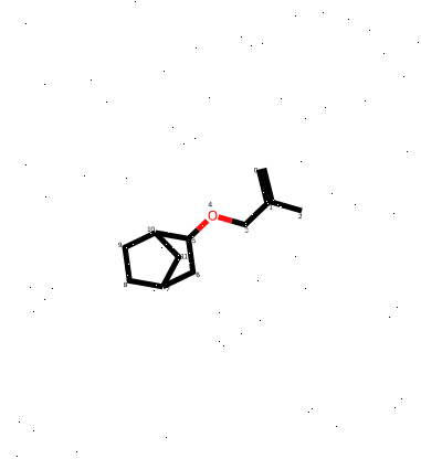 C=C(C)COC1CC2CCC1C2